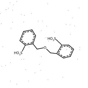 O=S(=O)(O)c1ccccc1COCc1ccccc1S(=O)(=O)O